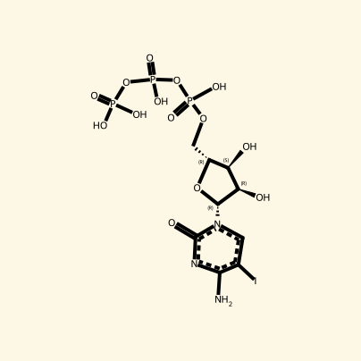 Nc1nc(=O)n([C@@H]2O[C@H](COP(=O)(O)OP(=O)(O)OP(=O)(O)O)[C@@H](O)[C@H]2O)cc1I